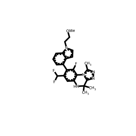 COCCn1ccc2c(-c3c(C(F)F)cc4c(c3F)-n3c(C)nnc3C(C)(C)N4)cccc21